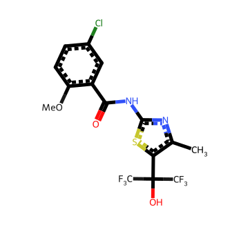 COc1ccc(Cl)cc1C(=O)Nc1nc(C)c(C(O)(C(F)(F)F)C(F)(F)F)s1